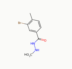 Cc1ccc(C(=O)NNC(=O)O)cc1Br